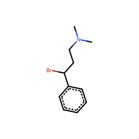 CN(C)CCC(Br)c1ccccc1